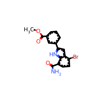 COC(=O)c1cccc(-c2cc3c(Br)ccc(C(N)=O)c3[nH]2)c1